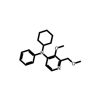 COCc1nccc(N(c2ccccc2)C2CCCCC2)c1OC